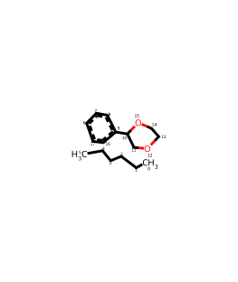 CCCCCC.c1ccc(C2COCCO2)cc1